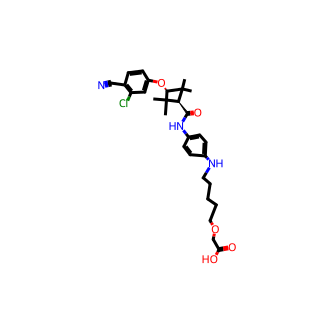 CC1(C)[C@H](Oc2ccc(C#N)c(Cl)c2)C(C)(C)[C@H]1C(=O)Nc1ccc(NCCCCCOCC(=O)O)cc1